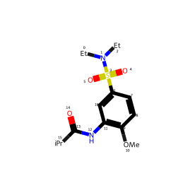 CCN(CC)S(=O)(=O)c1ccc(OC)c(NC(=O)C(C)C)c1